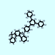 CC1(C)c2ccccc2-c2c1ccc1c2c2ccccc2n1-c1ccc(-c2cc(-c3ccccc3)cc(-c3ccccc3)c2)cc1